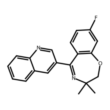 CC1(C)COc2cc(F)ccc2C(c2cnc3ccccc3c2)=N1